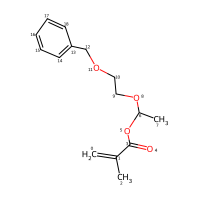 C=C(C)C(=O)OC(C)OCCOCc1ccccc1